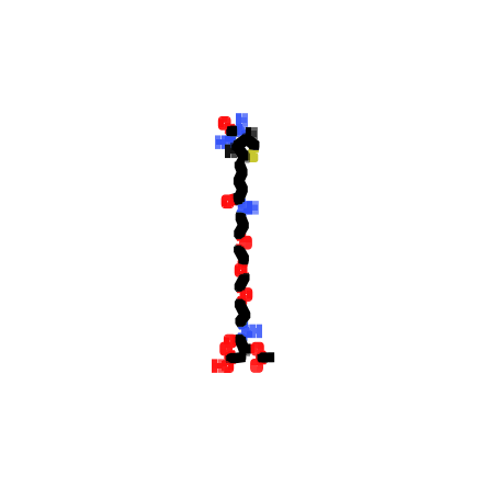 CC(=O)O[C@@H](CC(=O)O)C(=O)NCCCOCCOCCOCCCNC(=O)CCCC[C@@H]1SC[C@@H]2NC(=O)N[C@@H]21